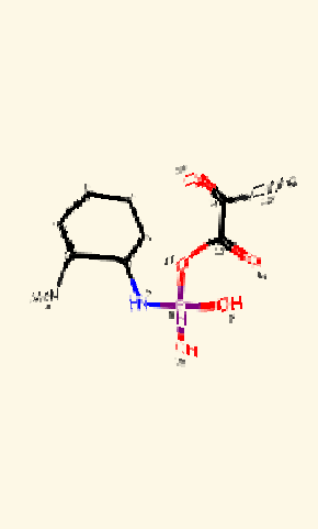 CNC1CCCCC1N[PH](O)(O)OC(=O)C(=O)OC